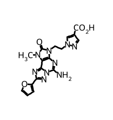 Cn1c(=O)n(CCn2cc(C(=O)O)cn2)c2nc(N)n3nc(-c4ccco4)nc3c21